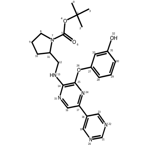 CC(C)(C)OC(=O)N1CCCC1CNc1ncc(-c2cncnc2)nc1Oc1cccc(O)c1